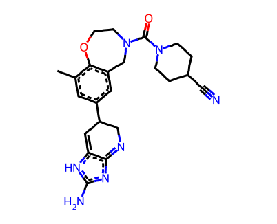 Cc1cc(C2C=c3[nH]c(N)nc3=NC2)cc2c1OCCN(C(=O)N1CCC(C#N)CC1)C2